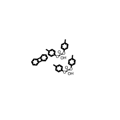 Cc1ccc(OP(=O)(O)Oc2ccc(C)cc2)cc1.Cc1ccc(OP(=O)(O)Oc2ccc(C)cc2)cc1.c1ccc2c(c1)-c1ccccc1-2